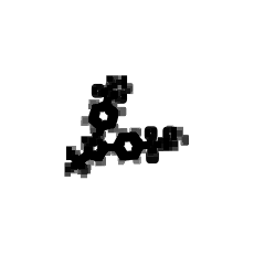 CNS(=O)(=O)c1ccc(-c2cc(C(F)(F)F)nn2-c2ccc(S(N)(=O)=O)cc2)cc1